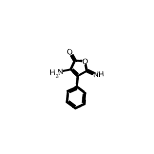 N=C1OC(=O)C(N)=C1c1ccccc1